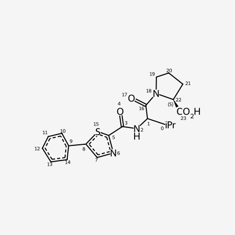 CC(C)C(NC(=O)c1ncc(-c2ccccc2)s1)C(=O)N1CCC[C@H]1C(=O)O